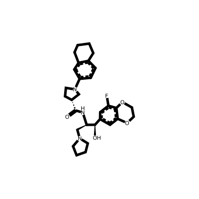 O=C(N[C@H](CN1CCCC1)[C@H](O)c1cc(F)c2c(c1)OCCO2)[C@@H]1CCN(c2ccc3c(c2)CCCC3)C1